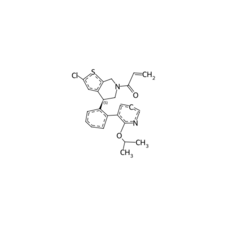 C=CC(=O)N1Cc2sc(Cl)cc2[C@H](c2ccccc2-c2cccnc2OC(C)C)C1